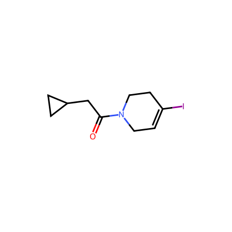 O=C(CC1CC1)N1CC=C(I)CC1